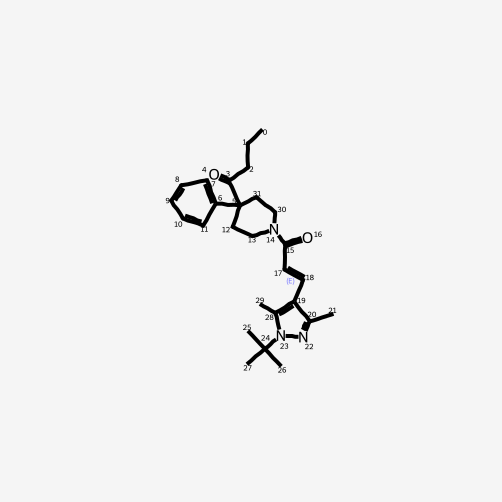 CCCC(=O)C1(c2ccccc2)CCN(C(=O)/C=C/c2c(C)nn(C(C)(C)C)c2C)CC1